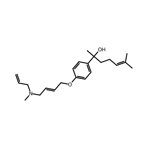 C=CCN(C)C/C=C/COc1ccc(C(C)(O)CCC=C(C)C)cc1